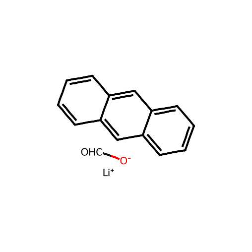 O=C[O-].[Li+].c1ccc2cc3ccccc3cc2c1